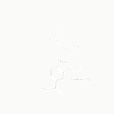 COC(=O)c1ccc2nc(Cc3cc(F)c(Br)cc3F)n([C@H](C)C(C)(C)OC)c2c1